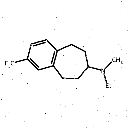 CCN(C)C1CCc2ccc(C(F)(F)F)cc2CC1